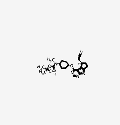 CN(C(=O)OC(C)(C)C)[C@H]1CC[C@H](Oc2ncnc3sc4c(c23)[C@@H](CC#N)CC4)CC1